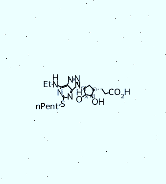 CCCCCSc1nc(NCC)c2nnn([C@@H]3C[C@H](CCC(=O)O)[C@@H](O)[C@H]3O)c2n1